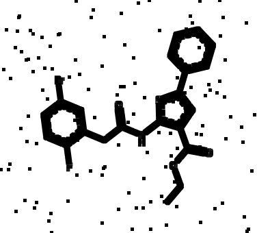 CCOC(=O)c1cc(-c2ccccc2)sc1NC(=O)Cc1cc(Br)ccc1F